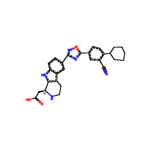 N#Cc1cc(-c2nc(-c3ccc4[nH]c5c(c4c3)CCN[C@H]5CC(=O)O)no2)ccc1C1CCCCC1